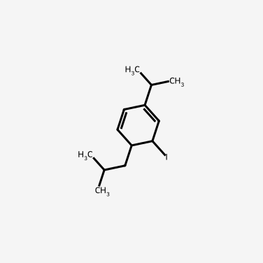 CC(C)CC1C=CC(C(C)C)=CC1I